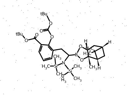 CC(C)(C)OC(=O)Oc1c(CC(B2O[C@@H]3C[C@@H]4C[C@@H](C4(C)C)[C@]3(C)O2)N([Si](C)(C)C)[Si](C)(C)C)cccc1C(=O)OC(C)(C)C